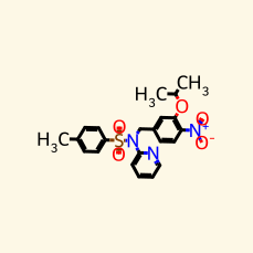 Cc1ccc(S(=O)(=O)N(Cc2ccc([N+](=O)[O-])c(OC(C)C)c2)c2ccccn2)cc1